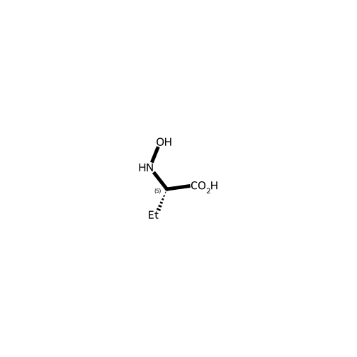 CC[C@H](NO)C(=O)O